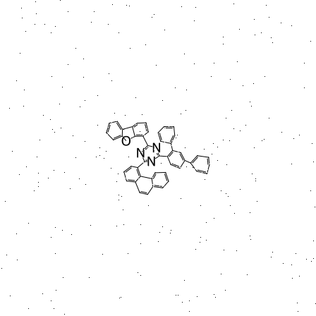 c1ccc(-c2ccc(-c3nc(-c4cccc5c4oc4ccccc45)nc(-c4cccc5ccc6ccccc6c45)n3)c(-c3ccccc3)c2)cc1